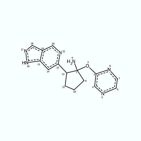 NC1(Oc2cnccn2)CCCC1c1cc2[nH]ncc2cn1